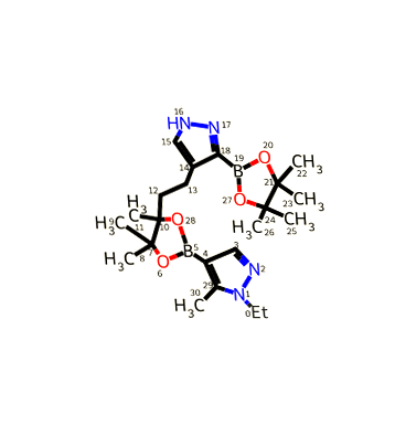 CCn1ncc(B2OC(C)(C)C(C)(CCc3c[nH]nc3B3OC(C)(C)C(C)(C)O3)O2)c1C